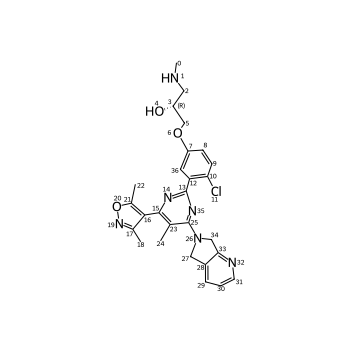 CNC[C@@H](O)COc1ccc(Cl)c(-c2nc(-c3c(C)noc3C)c(C)c(N3Cc4cccnc4C3)n2)c1